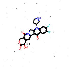 CC[C@@]1(O)C(=O)OCc2c1cc1n(c2=O)Cc2c-1c(=O)c1cc(F)c(F)cc1n2[C@@H]1CCNC1